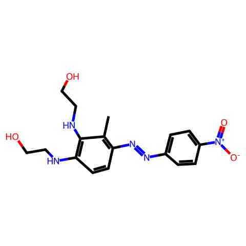 Cc1c(N=Nc2ccc([N+](=O)[O-])cc2)ccc(NCCO)c1NCCO